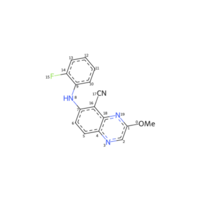 COc1cnc2ccc(Nc3c[c]ccc3F)c(C#N)c2n1